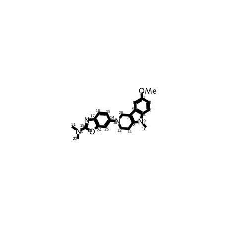 COc1ccc2c(c1)c1c(n2C)CCN(c2ccc3nc(N(C)C)oc3c2)C1